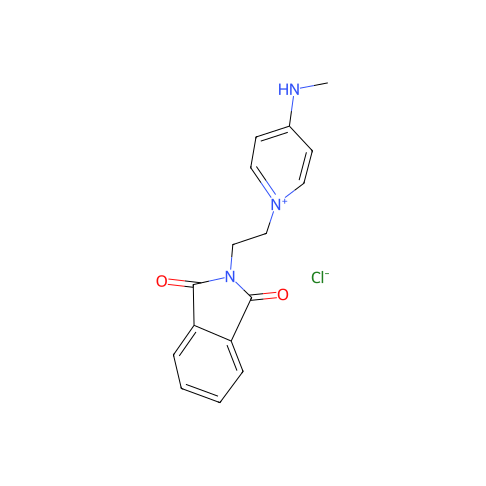 CNc1cc[n+](CCN2C(=O)c3ccccc3C2=O)cc1.[Cl-]